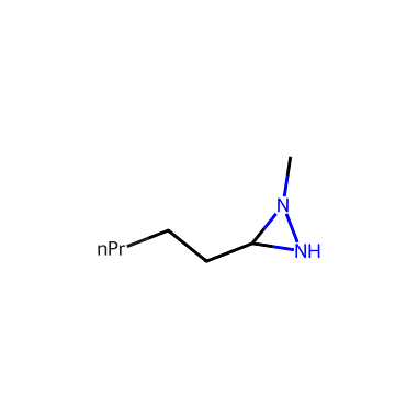 CCCCCC1NN1C